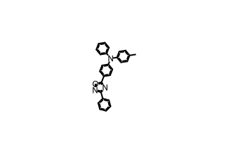 Cc1ccc(N(c2ccccc2)c2ccc(-c3nc(-c4ccccc4)no3)cc2)cc1